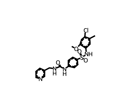 COc1cc(Cl)c(C)cc1NS(=O)(=O)c1ccc(NC(=O)NCc2cccnc2)cc1